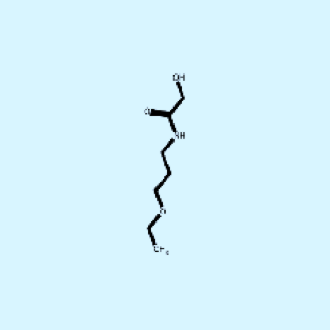 CCOCCCNC(=O)CO